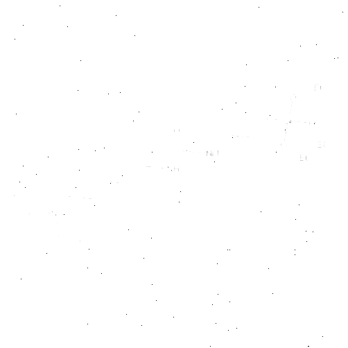 CCO[Si](CCCNC(=O)NCCCCCN1C(=O)C=CC1=O)(OCC)OCC